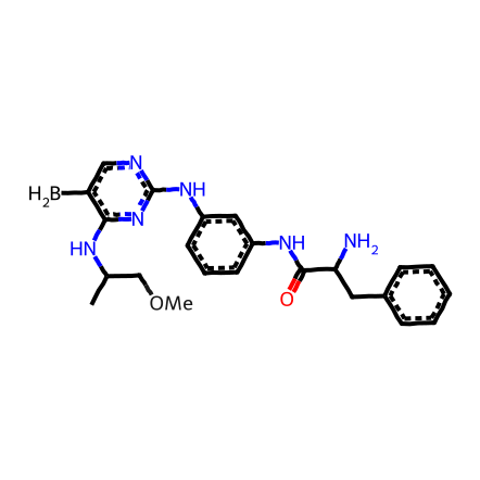 Bc1cnc(Nc2cccc(NC(=O)C(N)Cc3ccccc3)c2)nc1NC(C)COC